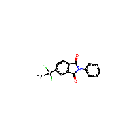 C[Si](Cl)(Cl)c1ccc2c(c1)C(=O)N(c1ccccc1)C2=O